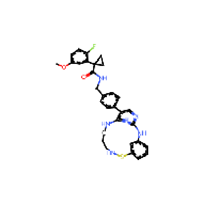 COc1ccc(F)c(C2(C(=O)NCc3ccc(-c4cnc5nc4NCCCNSc4cccc(c4)N5)cc3)CC2)c1